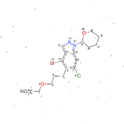 O=C(O)COCCCc1c(Cl)cc2c(cnn2C2CCCCO2)c1Br